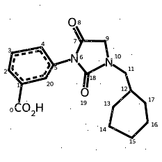 O=C(O)c1cccc(N2C(=O)CN(CC3CCCCC3)C2=O)c1